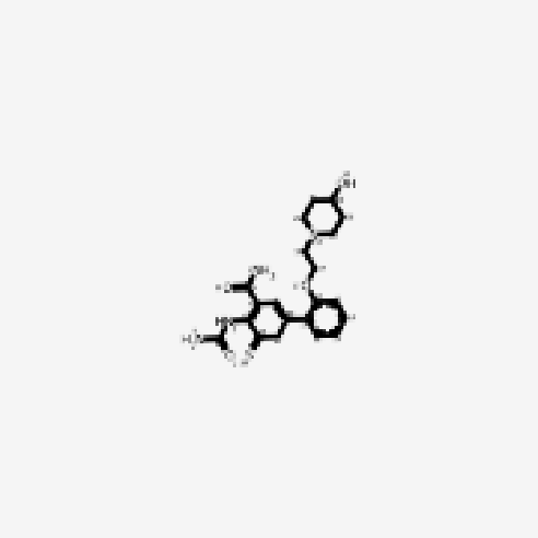 NC(=O)NC1=C(C(N)=O)C=C(c2ccccc2OCCN2CCC(O)CC2)CC1=S